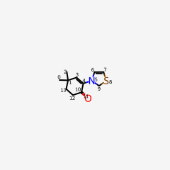 CC1(C)C=C(N2C=CSC2)C(=O)CC1